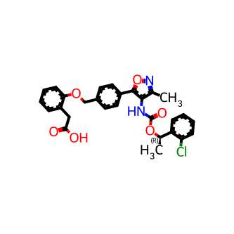 Cc1noc(-c2ccc(COc3ccccc3CC(=O)O)cc2)c1NC(=O)O[C@H](C)c1ccccc1Cl